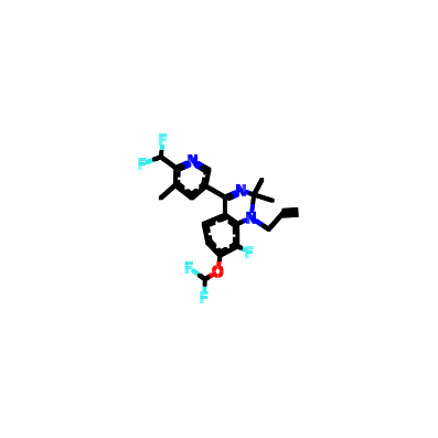 C#CCN1c2c(ccc(OC(F)F)c2F)C(c2cnc(C(F)F)c(C)c2)=NC1(C)C